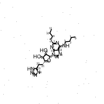 CCCCNc1nc(SCCC)nc2c1nnn2[C@@H]1O[C@H](CCc2nnn[nH]2)[C@@H](O)[C@H]1O